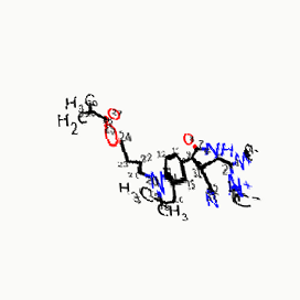 [C-]#[N+]C([N+]#[C-])C1NC(=O)C(c2ccc3c(c2)CC(C)(C)N3CCCCOC(=O)C(=C)C)=C1C#N